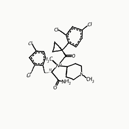 CN1CCC([N+](C)(C(=O)C2(c3ccc(Cl)cc3Cl)CC2)[C@@H](Cc2ccc(Cl)cc2Cl)C(N)=O)CC1